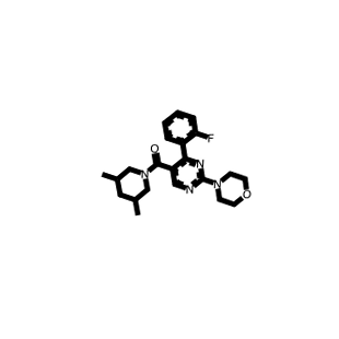 CC1CC(C)CN(C(=O)c2cnc(N3CCOCC3)nc2-c2ccccc2F)C1